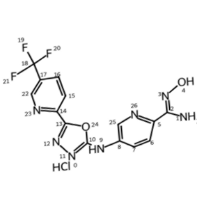 Cl.NC(=NO)c1ccc(Nc2nnc(-c3ccc(C(F)(F)F)cn3)o2)cn1